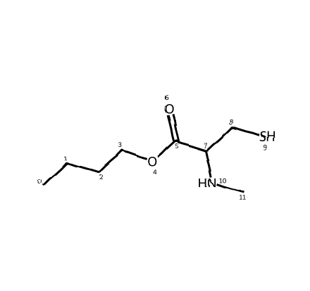 CCCCOC(=O)C(CS)NC